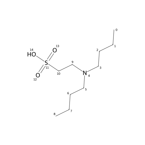 CCCCN(CCCC)CCS(=O)(=O)O